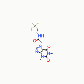 Cn1c(=O)c2c(ncn2CC(=O)NCCC(C)(F)F)n(C)c1=O